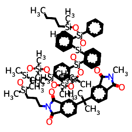 CCCC[Si](C)(C)O[Si](O[Si](O[Si](O[Si](C)(C)O[Si](C)(C)O[Si](C)(C)O[Si](C)(C)O[Si](C)(C)O[Si](C)(C)CCCN1C(=O)c2ccc(C(C)(C)c3ccc4c(c3)C(=O)N(C)C4=O)cc2C1=O)(c1ccccc1)c1ccccc1)(c1ccccc1)c1ccccc1)(c1ccccc1)c1ccccc1